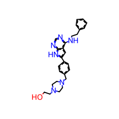 OCCN1CCN(Cc2ccc(-c3cc4c(NCCc5ccccc5)ncnc4[nH]3)cc2)CC1